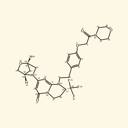 O=C(COc1ccc(CCN2c3nc(N4C[C@@H]5C[C@H]4CO5)cc(=O)n3CC[C@H]2C(F)(F)F)cc1)N1CCOCC1